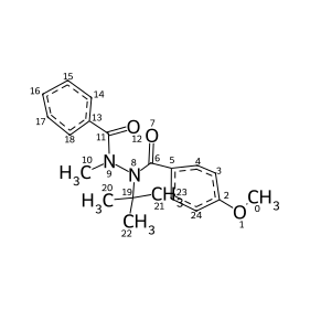 COc1ccc(C(=O)N(N(C)C(=O)c2ccccc2)C(C)(C)C)cc1